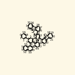 c1ccc(-c2cc(-c3nc(-c4cccc5c4sc4ccccc45)cc(-c4cccc5c4sc4ccccc45)n3)c(-c3ccccc3)c(-c3cccc4ccccc34)c2)cc1